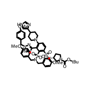 COc1ccc(CN(Cc2ccc(OC)cc2)S(=O)(=O)c2c(S(=O)(=O)N[C@@H]3CCN(C(=O)OC(C)(C)C)C3)ccc(N3CCC(c4c[nH]cn4)CC3)c2-c2nnn(Cc3ccc(OC)cc3)n2)cc1